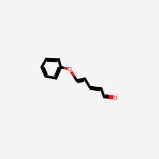 O=CC=CC=COc1ccccc1